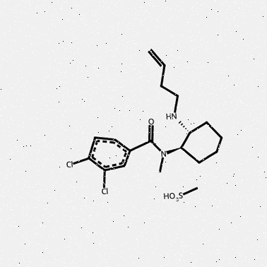 C=CCCN[C@@H]1CCCC[C@H]1N(C)C(=O)c1ccc(Cl)c(Cl)c1.CS(=O)(=O)O